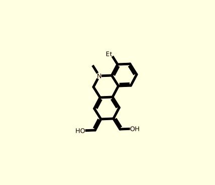 CCc1cccc2c1N(C)Cc1cc(=CO)c(=CO)cc1-2